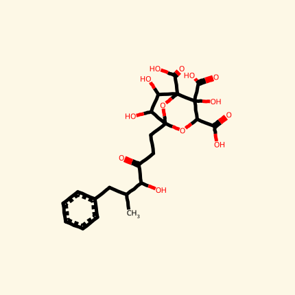 CC(Cc1ccccc1)C(O)C(=O)CCC12OC(C(=O)O)C(O)(C(=O)O)C(C(=O)O)(O1)C(O)C2O